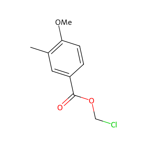 COc1ccc(C(=O)OCCl)cc1C